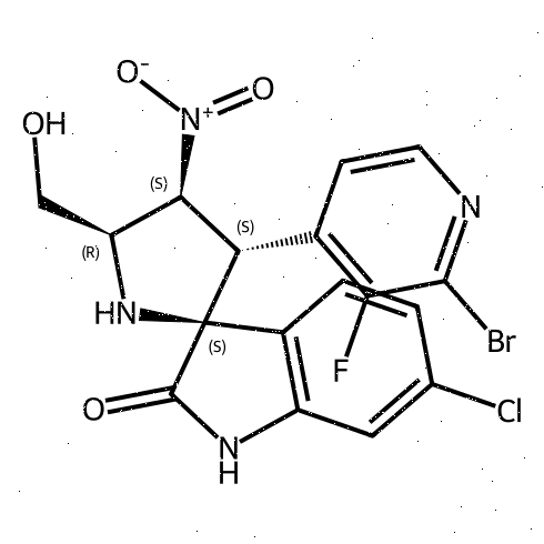 O=C1Nc2cc(Cl)ccc2[C@]12N[C@@H](CO)[C@@H]([N+](=O)[O-])[C@@H]2c1ccnc(Br)c1F